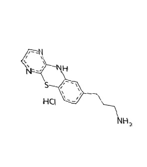 Cl.NCCCc1ccc2c(c1)Nc1nccnc1S2